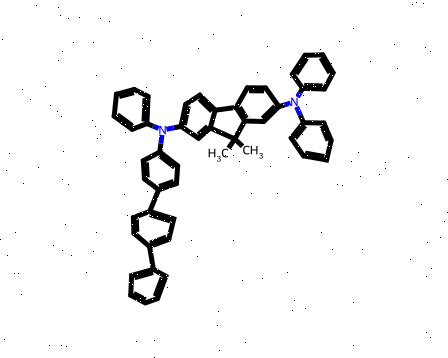 CC1(C)c2cc(N(c3ccccc3)c3ccccc3)ccc2-c2ccc(N(c3ccccc3)c3ccc(-c4ccc(-c5ccccc5)cc4)cc3)cc21